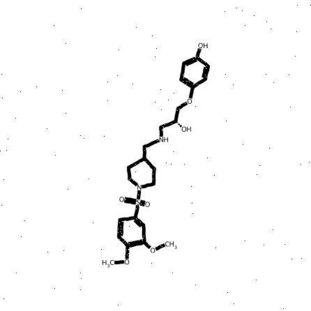 COc1ccc(S(=O)(=O)N2CCC(CNC[C@@H](O)COc3ccc(O)cc3)CC2)cc1OC